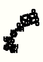 C[C@@H](NC(=O)c1ccc(CNC(=O)CN2CCN3CCN4CCN(CC2)CC(=O)OC(OC(=O)C3)OC(=O)C4)nc1)C(=O)N1CCC[C@H]1B(O)O